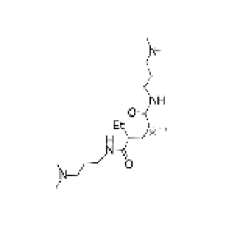 CCC(C[C@@H](C)C(=O)NCCCN(C)C)C(=O)NCCCN(C)C